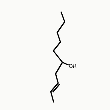 CC=CCC(O)CCCCC